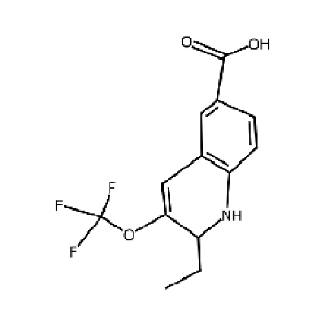 CCC1Nc2ccc(C(=O)O)cc2C=C1OC(F)(F)F